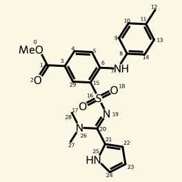 COC(=O)c1ccc(Nc2ccc(C)cc2)c(S(=O)(=O)N=C(c2ccc[nH]2)N(C)C)c1